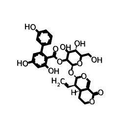 C=C[C@H]1[C@H](O[C@@H]2OC(CO)[C@@H](O)C(O)C2OC(=O)c2c(O)cc(O)cc2-c2cccc(O)c2)OC=C2C(=O)OCC[C@H]21